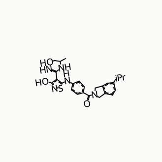 CC(CO)NC(=N)c1c(O)nsc1Nc1ccc(C(=O)N2Cc3ccc(C(C)C)cc3C2)cc1